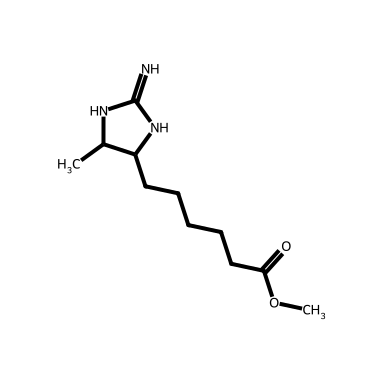 COC(=O)CCCCCC1NC(=N)NC1C